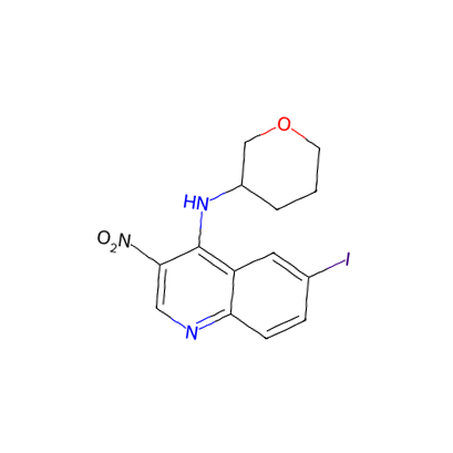 O=[N+]([O-])c1cnc2ccc(I)cc2c1NC1CCCOC1